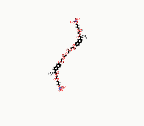 CC(C(=O)OCC(=O)OCCCCON(O)O)c1ccc2cc(OC(=O)COC(=O)COCC(=O)OCC(=O)Oc3ccc4ccc(C(C)C(=O)OCC(=O)OCCCCON(O)O)cc4c3)ccc2c1